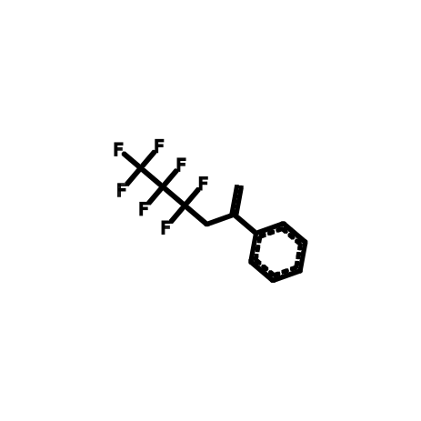 C=C(CC(F)(F)C(F)(F)C(F)(F)F)c1ccccc1